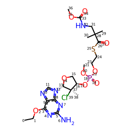 CCOc1nc(N)nc2c1ncn2[C@@H]1OC[C@@H](OP(=O)(OC)OCCSC(=O)C(C)(C)CNC(=O)OC)[C@@]1(C)Cl